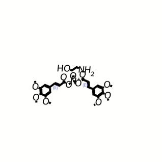 COc1cc(/C=C/C(=O)O[N+](=O)OC(=O)/C=C/c2cc(OC)c(OC)c(OC)c2)cc(OC)c1OC.NCCO